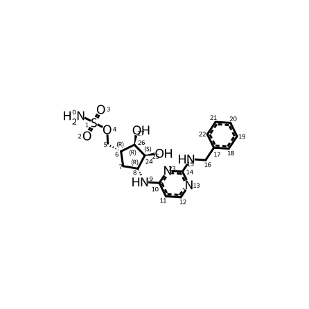 NS(=O)(=O)OC[C@H]1C[C@@H](Nc2ccnc(NCc3ccccc3)n2)[C@H](O)[C@@H]1O